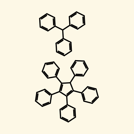 c1ccc(C(c2ccccc2)c2ccccc2)cc1.c1ccc(C2=C(c3ccccc3)C(c3ccccc3)C(c3ccccc3)=C2c2ccccc2)cc1